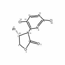 CC(C)[C@H]1COC(=O)N1c1nc(Cl)ncc1Cl